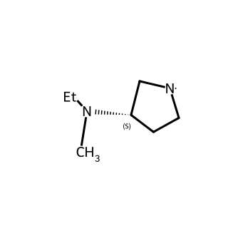 CCN(C)[C@H]1CC[N]C1